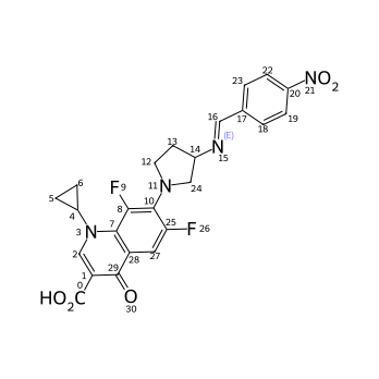 O=C(O)c1cn(C2CC2)c2c(F)c(N3CCC(/N=C/c4ccc([N+](=O)[O-])cc4)C3)c(F)cc2c1=O